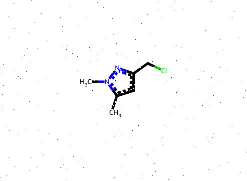 Cc1cc(CCl)nn1C